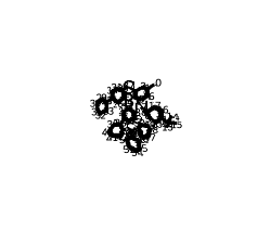 Cc1cc2c3c(c1)N(c1ccc(C(C)(C)C)cc1)c1cc4c(cc1B3c1cc(-c3ccccc3)ccc1O2)-c1ccccc1[Si]4(c1ccccc1)c1ccccc1